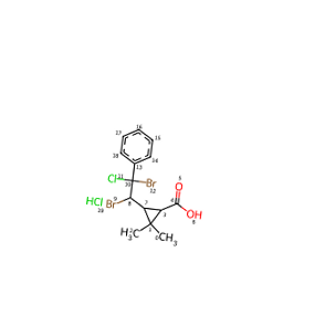 CC1(C)C(C(=O)O)C1C(Br)C(Cl)(Br)c1ccccc1.Cl